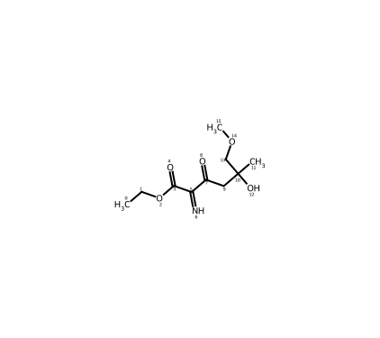 CCOC(=O)C(=N)C(=O)CC(C)(O)COC